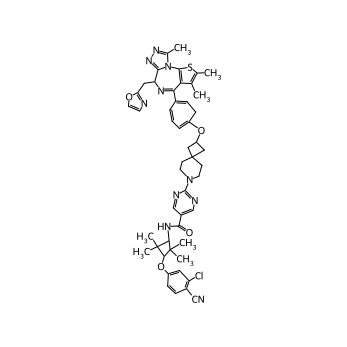 Cc1sc2c(c1C)C(C1=CCC(OC3CC4(CCN(c5ncc(C(=O)NC6C(C)(C)C(Oc7ccc(C#N)c(Cl)c7)C6(C)C)cn5)CC4)C3)=CC=C1)=NC(Cc1ncco1)c1nnc(C)n1-2